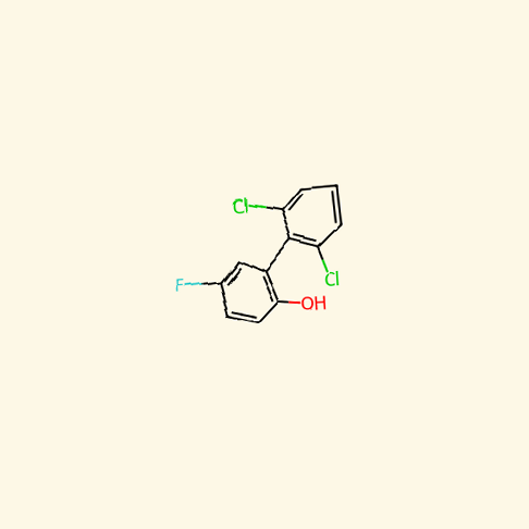 Oc1ccc(F)cc1-c1c(Cl)cccc1Cl